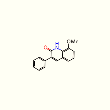 COc1cccc2cc(-c3cc[c]cc3)c(=O)[nH]c12